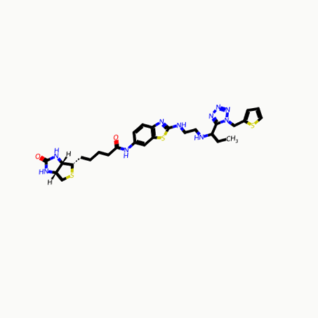 CCC(NCCNc1nc2ccc(NC(=O)CCCC[C@@H]3SC[C@@H]4NC(=O)N[C@@H]43)cc2s1)c1nnnn1Cc1cccs1